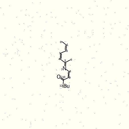 C\C=C/C=C\C(C)=N\C=C/C(=O)C(C)CC